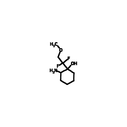 COCC(F)(F)C1(O)CCCCC1N